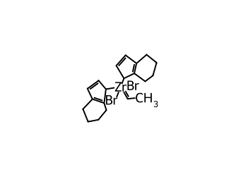 C[CH]=[Zr]([Br])([Br])([CH]1C=CC2=C1CCCC2)[CH]1C=CC2=C1CCCC2